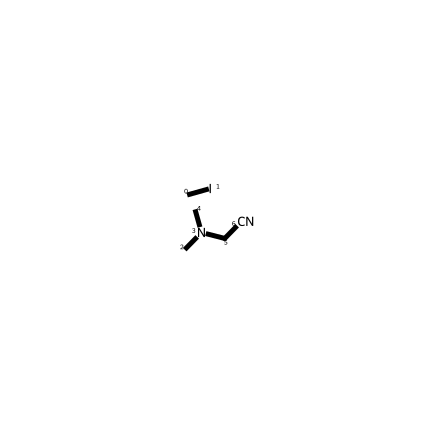 CI.CN(C)CC#N